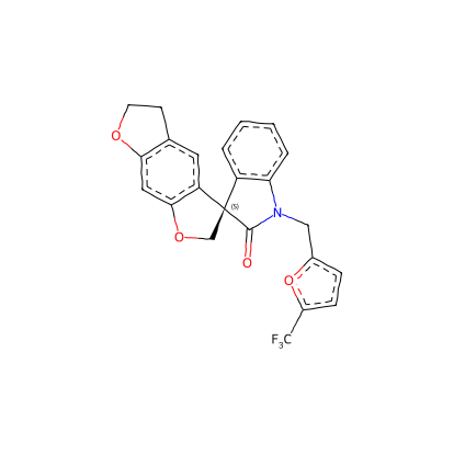 O=C1N(Cc2ccc(C(F)(F)F)o2)c2ccccc2[C@]12COc1cc3c(cc12)CCO3